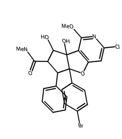 CNC(=O)C1C(O)C2(O)c3c(cc(Cl)nc3OC)OC2(c2ccc(Br)cc2)C1c1ccccc1